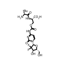 CC(C)(C)[C@H](N)C(=O)N[C@@H](COC(=O)Nc1ccn([C@@H]2O[C@H](CO)[C@@H](O)C2(F)F)c(=O)n1)C(=O)O